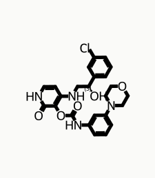 O=C(Nc1cccc(N2CCOCC2)c1)Oc1c(NC[C@@H](O)c2cccc(Cl)c2)cc[nH]c1=O